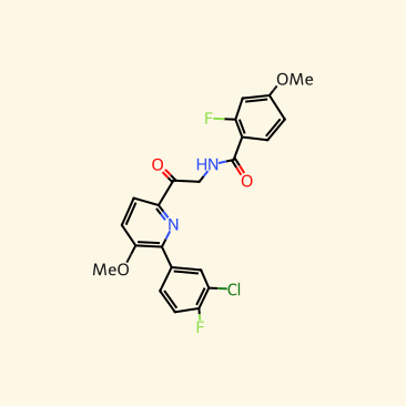 COc1ccc(C(=O)NCC(=O)c2ccc(OC)c(-c3ccc(F)c(Cl)c3)n2)c(F)c1